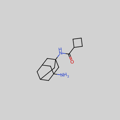 NC12CC3CC(C1)CC(NC(=O)C1CCC1)(C3)C2